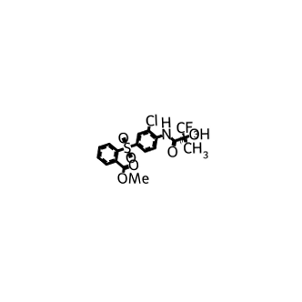 COC(=O)c1ccccc1S(=O)(=O)c1ccc(NC(=O)[C@@](C)(O)C(F)(F)F)c(Cl)c1